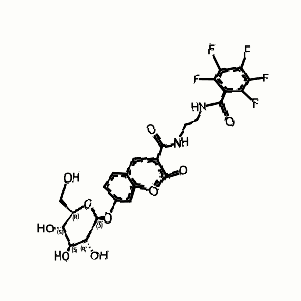 O=C(NCCNC(=O)c1cc2ccc(O[C@@H]3O[C@H](CO)[C@@H](O)[C@H](O)[C@H]3O)cc2oc1=O)c1c(F)c(F)c(F)c(F)c1F